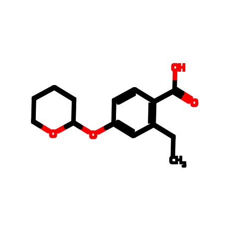 CCc1cc(OC2CCCCO2)ccc1C(=O)O